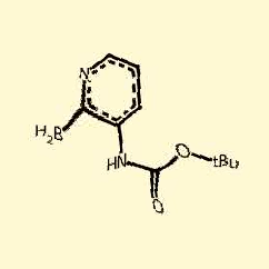 Bc1ncccc1NC(=O)OC(C)(C)C